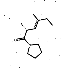 CC/C(C)=C/[C@@H](C)C(=O)N1CCCC1